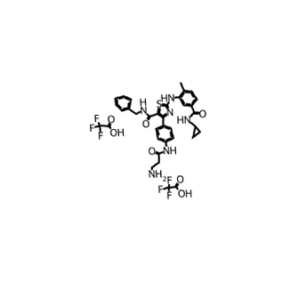 Cc1ccc(C(=O)NC2CC2)cc1Nc1nc(-c2ccc(NC(=O)CCN)cc2)c(C(=O)NCc2ccccc2)s1.O=C(O)C(F)(F)F.O=C(O)C(F)(F)F